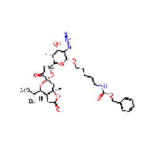 CC[C@@H](C)[C@@H](OC(C)=O)C1O[C@@](OCC2O[C@@H](OCCCCCNC(=O)OCc3ccccc3)C(N=[N+]=[N-])[C@@H](O)[C@H]2C)(C(=O)OC)C[C@H]2OC(=O)C[C@@H]12